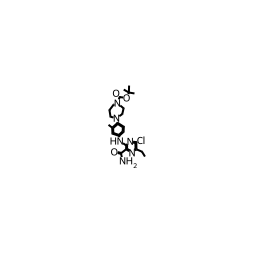 CCc1nc(C(N)=O)c(Nc2ccc(N3CCCN(C(=O)OC(C)(C)C)CC3)c(C)c2)nc1Cl